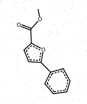 COC(=O)c1ccc(-c2ccccc2)o1